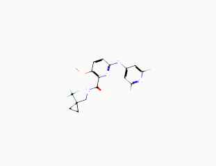 COc1ccc(Nc2cc(F)nc(F)c2)nc1C(=O)NCC1(C(F)(F)F)CC1